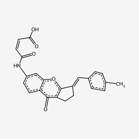 Cc1ccc(/C=C2\CCc3c2oc2cc(NC(=O)/C=C\C(=O)O)ccc2c3=O)cc1